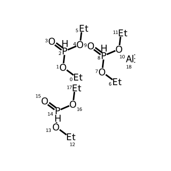 CCO[PH](=O)OCC.CCO[PH](=O)OCC.CCO[PH](=O)OCC.[Al]